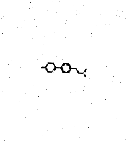 CC1CCC(c2ccc(CCN(C)C)cc2)=NC1